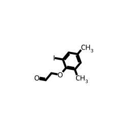 Cc1cc(C)c(OCC=O)c(I)c1